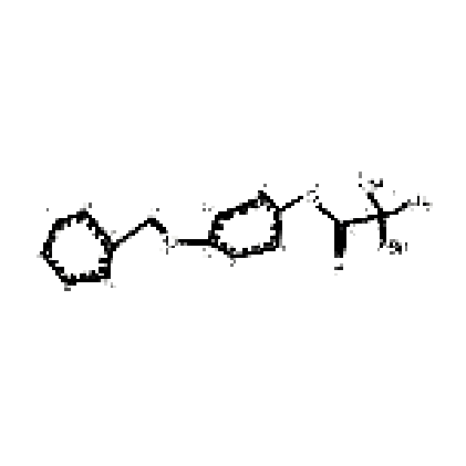 CCCCC(C)(C)C(=O)Oc1ccc(OCc2ccccc2)cc1